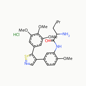 COc1ccc(-c2cnsc2-c2cc(OC)c(OC)c(OC)c2)cc1NC(=O)C(N)CC(C)C.Cl